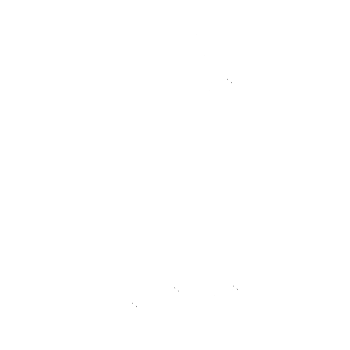 c1ccc(-c2cc(-c3ccc(-c4ccc(-c5nc6ccccc6o5)cc4)cc3)cc(-c3ccccn3)n2)nc1